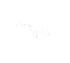 CCCCCOCC(C)OCC(C)OC(C)=O